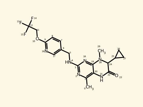 Cc1nc(NCc2ccc(OCC(F)(F)F)nc2)nc2c1NC(=O)C(C1CC1)N2C